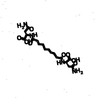 NC(=O)C[C@@H](NC(=O)CCCCCCCCC(=O)N[C@H](CC(N)=O)C(=O)O)C(=O)O